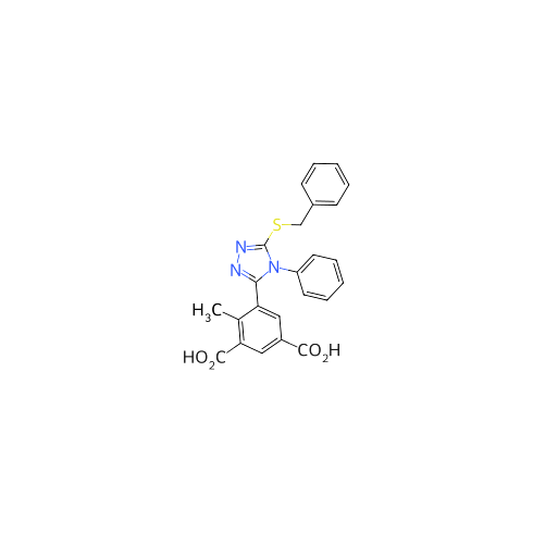 Cc1c(C(=O)O)cc(C(=O)O)cc1-c1nnc(SCc2ccccc2)n1-c1ccccc1